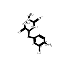 COC(=O)C(Cc1ccc(N)c(Cl)c1)NC(=O)OC(C)(C)C